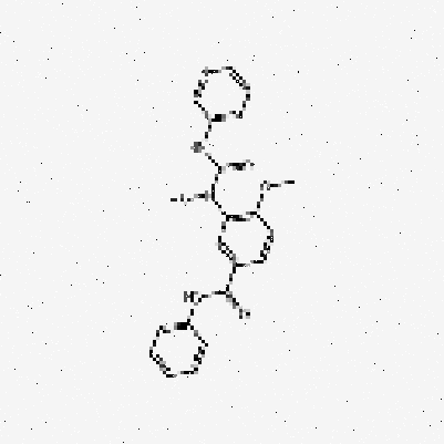 COc1ccc(C(=O)Nc2ccccc2)cc1N(S)C(=O)Nc1cccnc1